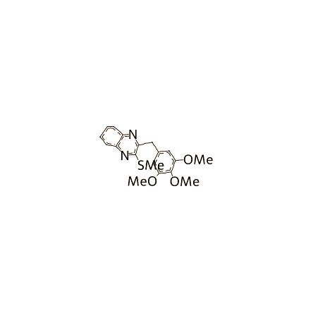 COc1cc(Cc2nc3ccccc3nc2SC)cc(OC)c1OC